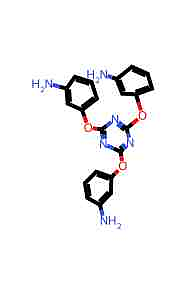 Nc1cccc(Oc2nc(Oc3cccc(N)c3)nc(Oc3cccc(N)c3)n2)c1